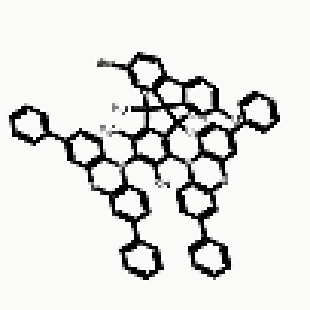 CC(C)(C)c1ccc2c(c1)C1(c3cc(C(C)(C)C)ccc3-2)C(C)(C)c2c(N3c4ccc(-c5ccccc5)cc4Sc4cc(-c5ccccc5)ccc43)c(C#N)c(N3c4ccc(-c5ccccc5)cc4Sc4cc(-c5ccccc5)ccc43)c(C(F)(F)F)c2C1(C)C